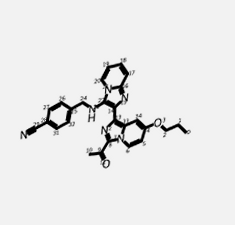 CCCOc1ccn2c(C(C)=O)nc(-c3nc4ccccn4c3NCc3ccc(C#N)cc3)c2c1